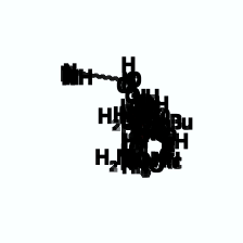 CCCC[C@H](NC(=O)[C@H](CN)NC(=O)[C@H](Cc1c[nH]cn1)NC(=O)[C@@H](CCC(N)=O)NC(=O)[C@H](CO)NC(=O)CNC(=O)CCCS(=O)(=O)NC(=O)CCCCCCCCCCCCCCCc1nnn[nH]1)C(=O)N[C@H]1CCC(=O)NCCCC[C@@H](C(C)=O)NC(=O)[C@H](Cc2c[nH]c3ccccc23)NC(=O)[C@H](CCCNC(=N)N)NC(=O)[C@@H](Cc2ccccc2)NC(=O)[C@@H]2C[C@@H](O)CN2C1=O